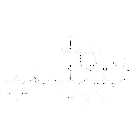 CC1=C(C(=O)OCCNc2ccccc2)C(c2cccc([N+](=O)[O-])c2)C(P2OCC(C)(C)CO2)=C(C)N1